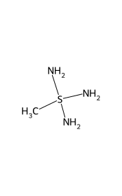 CS(N)(N)N